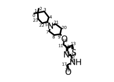 CC1(C)CCC(N2CCC(OCc3csc(NC=O)n3)CC2)CC1